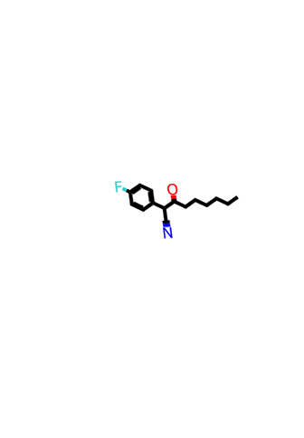 CCCCCCC(=O)C(C#N)c1ccc(F)cc1